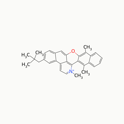 Cc1c2c(c(C)c3ccccc13)-c1c3c(cc4ccc(CC(C)(C)C)cc4c3cc[n+]1C)O2